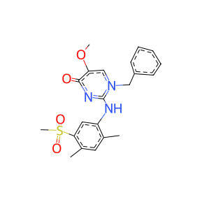 COc1cn(Cc2ccccc2)c(Nc2cc(S(C)(=O)=O)c(C)cc2C)nc1=O